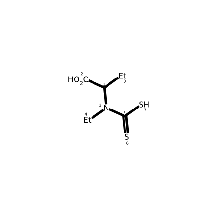 CCC(C(=O)O)N(CC)C(=S)S